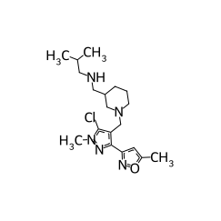 Cc1cc(-c2nn(C)c(Cl)c2CN2CCCC(CNCC(C)C)C2)no1